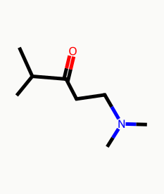 CC(C)C(=O)CCN(C)C